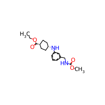 CCOC(=O)[C@H]1CC[C@H](Nc2cccc(CNC(=O)OC)c2)CC1